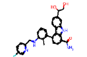 Cc1c(NCc2ccc(F)cn2)cccc1-c1ccc(C(N)=O)c2[nH]c3cc(C(O)CO)ccc3c12